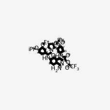 CCOc1cc([C@@H](Nc2ccc3c(N)nccc3c2)C(=O)N2CCC[C@H]2c2cc(NC(=O)COC(=O)C(F)(F)F)ccc2S(=O)(=O)C(C)C)ccc1OC(C)C